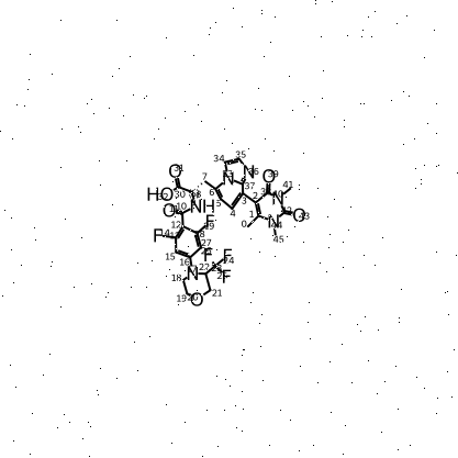 Cc1c(-c2ccc(C[C@H](NC(=O)c3c(F)cc(N4CCOCC4C(F)(F)F)cc3F)C(=O)O)n3ccnc23)c(=O)n(C)c(=O)n1C